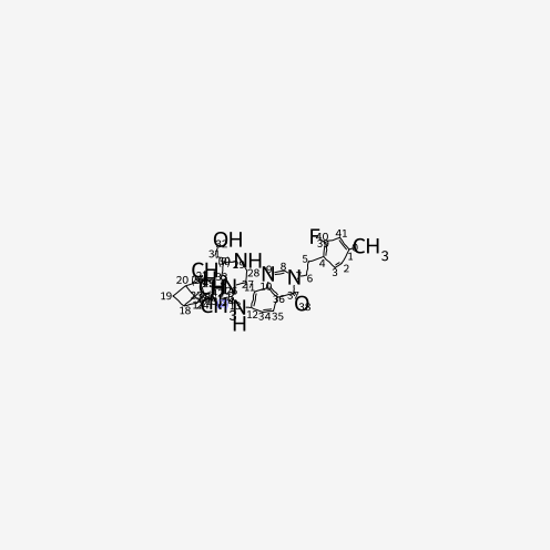 Cc1ccc(CCn2cnc3cc(N/C(=N/[C@H]4CC5CC([C@@H]4C)C5(C)C)N4CCN[C@@H](CO)C4)ccc3c2=O)c(F)c1